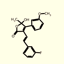 COc1cccc(C2=C(C=Cc3cccc(F)c3)C(=O)OC2(C)O)c1